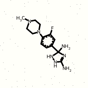 CN1CCN(c2ccc(C3(N)N=C(N)NN3)cc2F)CC1